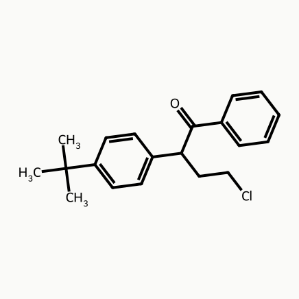 CC(C)(C)c1ccc(C(CCCl)C(=O)c2ccccc2)cc1